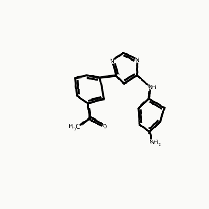 CC(=O)c1cccc(-c2cc(Nc3ccc(N)cc3)ncn2)c1